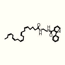 CC/C=C\C/C=C\C/C=C\C/C=C\C/C=C\CCCC(=O)NCCNC(=O)c1cccnc1-c1ccccc1